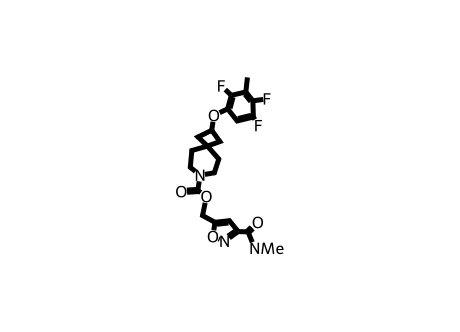 CNC(=O)c1cc(COC(=O)N2CCC3(CC2)CC(Oc2cc(F)c(F)c(C)c2F)C3)on1